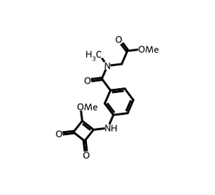 COC(=O)CN(C)C(=O)c1cccc(Nc2c(OC)c(=O)c2=O)c1